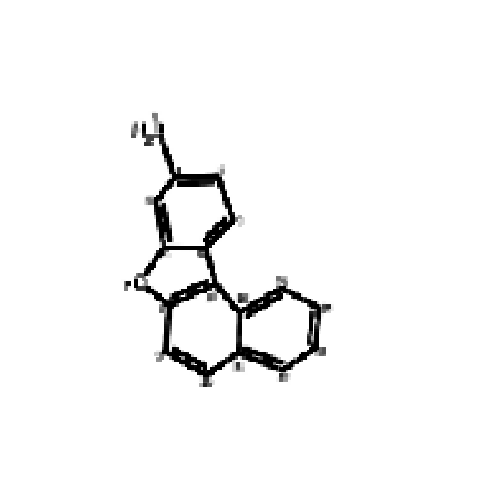 Bc1ccc2c(c1)oc1ccc3ccccc3c12